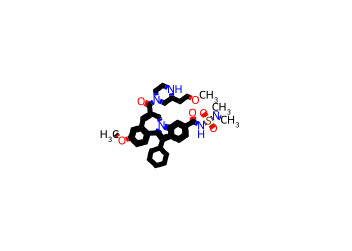 COCCC1CN(C(=O)C2=Cc3cc(OC)ccc3-c3c(C4CCCCC4)c4ccc(C(=O)NS(=O)(=O)N(C)C)cc4n3C2)CCN1